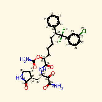 NC(=O)O[C@@H](CCCC[C@@H](c1ccccc1)C(F)(F)c1cccc(Cl)c1)C(=O)N[C@@H](C[C@@H]1CCNC1=O)C(=O)C(N)=O